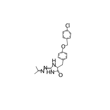 CC(C)=N/N=C1\NC(=O)C(Cc2ccc(OCc3ccc(Cl)cc3)cc2)N1